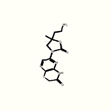 CC1(CCN)CN(c2cnc3c(n2)NC(=O)CO3)C(=O)O1